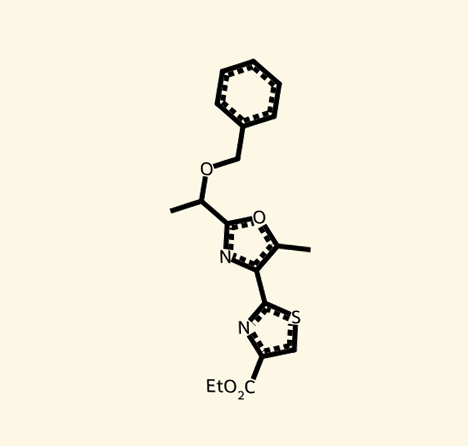 CCOC(=O)c1csc(-c2nc(C(C)OCc3ccccc3)oc2C)n1